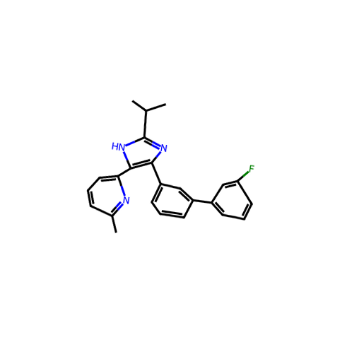 Cc1cccc(-c2[nH]c(C(C)C)nc2-c2cccc(-c3cccc(F)c3)c2)n1